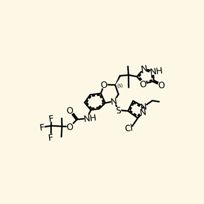 CCn1cc(SN2C[C@H](CC(C)(C)c3n[nH]c(=O)o3)Oc3ccc(NC(=O)OC(C)(C)C(F)(F)F)cc32)c(Cl)n1